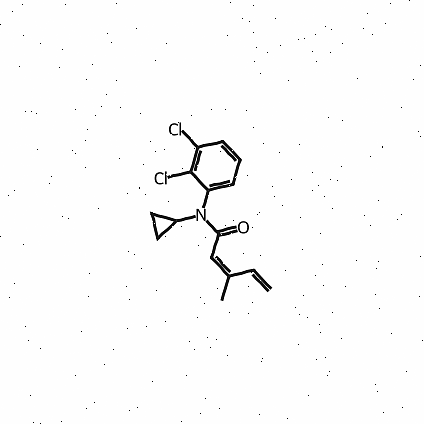 C=CC(C)=CC(=O)N(c1cccc(Cl)c1Cl)C1CC1